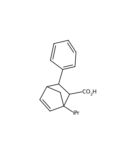 CC(C)C12C=CC(C1)C(c1ccccc1)C2C(=O)O